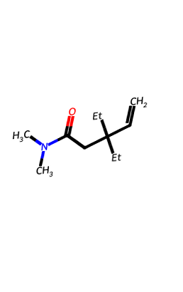 C=CC(CC)(CC)CC(=O)N(C)C